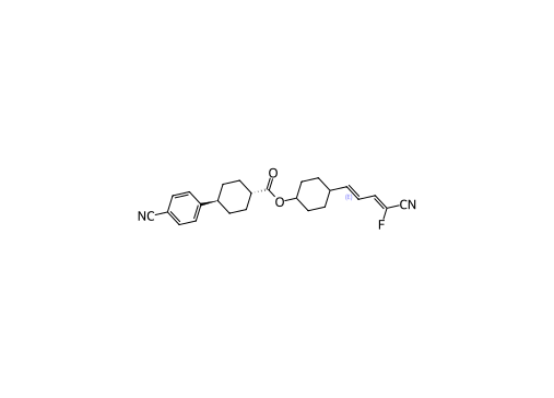 N#CC(F)=C/C=C/C1CCC(OC(=O)[C@H]2CC[C@H](c3ccc(C#N)cc3)CC2)CC1